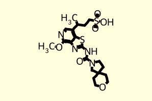 COc1ncc(C(C)CCS(=O)(=O)O)c2sc(NC(=O)N3CCC4(CCOCC4)C3)nc12